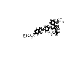 CCOC(=O)c1ccc2nc(N3CCC(OCc4c(-c5ccccc5OC(F)(F)F)noc4C4(C)CC4)CC3)sc2c1